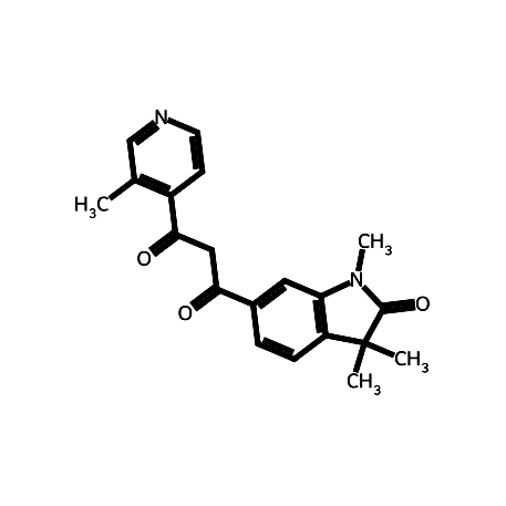 Cc1cnccc1C(=O)CC(=O)c1ccc2c(c1)N(C)C(=O)C2(C)C